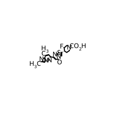 Cc1cn2nc(-c3cc(=O)n4cc([C@H]5CCN(C(=O)O)C[C@H]5F)sc4n3)cc(C)c2n1